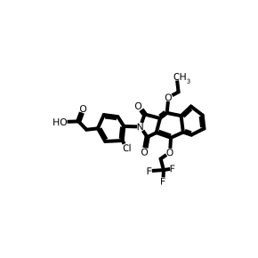 CCOc1c2c(c(OCC(F)(F)F)c3ccccc13)C(=O)N(c1ccc(CC(=O)O)cc1Cl)C2=O